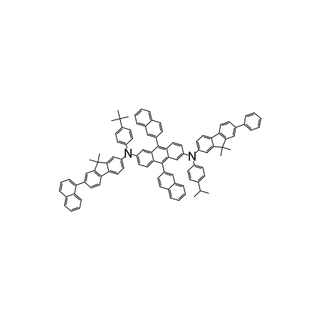 CC(C)c1ccc(N(c2ccc3c(c2)C(C)(C)c2cc(-c4ccccc4)ccc2-3)c2ccc3c(-c4ccc5ccccc5c4)c4cc(N(c5ccc(C(C)(C)C)cc5)c5ccc6c(c5)C(C)(C)c5cc(-c7cccc8ccccc78)ccc5-6)ccc4c(-c4ccc5ccccc5c4)c3c2)cc1